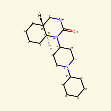 O=C1NC[C@H]2CCCC[C@@H]2N1C1CCN(C2CCCCC2)CC1